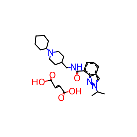 CC(C)n1cc2cccc(C(=O)NCC3CCN(C4CCCCC4)CC3)c2n1.O=C(O)C=CC(=O)O